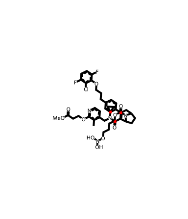 COC(=O)CCOc1nccc(CN(C(=O)C2=C(c3ccc(CCCOc4c(F)ccc(F)c4Cl)cc3)CC3CCC2N3C(=O)OCCCCON(O)O)C2CC2)c1C